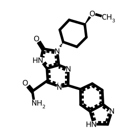 CO[C@H]1CC[C@H](n2c(=O)[nH]c3c(C(N)=O)nc(-c4ccc5nc[nH]c5c4)nc32)CC1